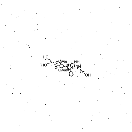 COc1cc(S(=O)(=O)CCN(CCO)CCO)c(OC)cc1/N=N/c1c(Nc2ccccc2)nc(NCCOCCO)c(N)c1C